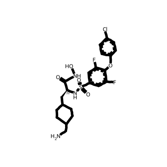 NCC1CCC(C[C@H](NS(=O)(=O)c2cc(F)c(Oc3ccc(Cl)cc3)c(F)c2)C(=O)NO)CC1